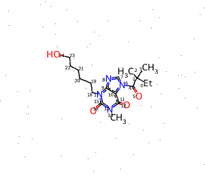 CCC(C)(C)C(=O)n1cnc2c1c(=O)n(C)c(=O)n2CCCCCCO